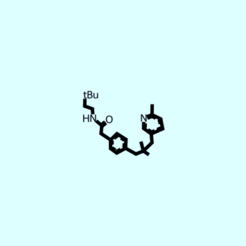 Cc1ccc(CC(C)(C)Cc2ccc(CC(=O)NCCC(C)(C)C)cc2)cn1